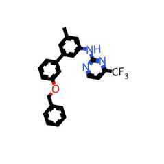 Cc1cc(Nc2nccc(C(F)(F)F)n2)cc(-c2cccc(OCc3ccccc3)c2)c1